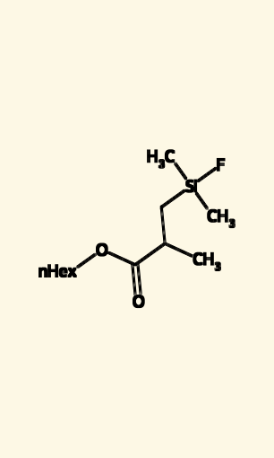 CCCCCCOC(=O)C(C)C[Si](C)(C)F